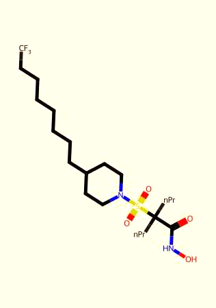 CCCC(CCC)(C(=O)NO)S(=O)(=O)N1CCC(CCCCCCCC(F)(F)F)CC1